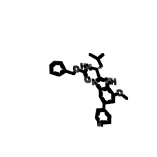 COc1cc(-c2ccncc2)cc2nc([C@@H](CC(C)C)NC(=O)OCc3ccccc3)[nH]c12